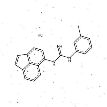 Cl.N=C(Nc1cccc(I)c1)Nc1ccc2c3c(cccc13)C=C2